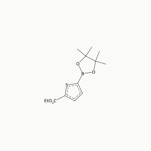 CCOC(=O)c1ccc(B2OC(C)(C)C(C)(C)O2)s1